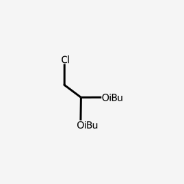 CC(C)COC(CCl)OCC(C)C